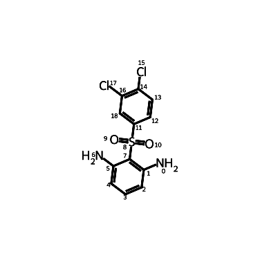 Nc1cccc(N)c1S(=O)(=O)c1ccc(Cl)c(Cl)c1